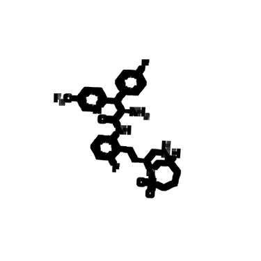 N[C@H](C(=O)Nc1cccc(F)c1CC[C@H]1CN[C@@H]2CCCS(=O)(=O)N1C2)C(c1ccc(F)cc1)c1ccc(C(F)(F)F)cn1